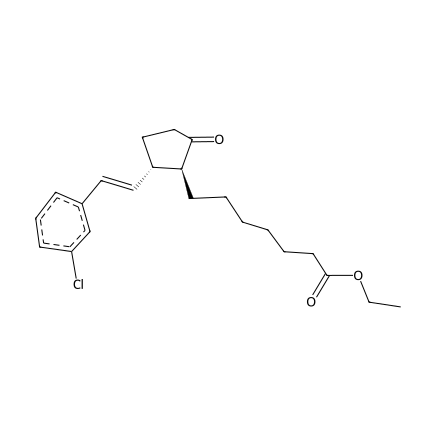 CCOC(=O)CCCCCC[C@@H]1C(=O)CC[C@H]1C=Cc1cccc(Cl)c1